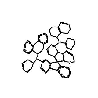 C1=CCC(N(C2=CC3C(C=C2)c2ccccc2C32C3C=CC=C(N(C4=CCCCC4)C4CCCC5=C4CCC=C5)C3C3C=CCCC32)C2Cc3ccccc3-c3ccccc32)C=C1